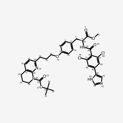 COC(=O)[C@H](Cc1ccc(OCCCc2ccc3c(n2)N(C(=O)OC(C)(C)C)CCC3)cc1)NC(=O)c1c(Cl)cc(-c2cnc[nH]2)cc1Cl